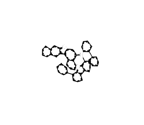 c1ccc(-c2ccccc2N(c2cc3oc4cc5ccccc5cc4c3c3ccccc23)c2cccc3c2oc2c(-c4ccccc4)cccc23)cc1